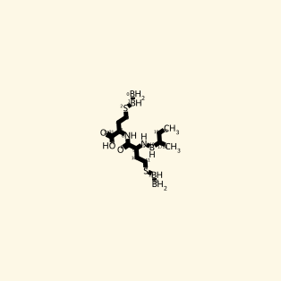 BBSCCC(NC(=O)C(CCSBB)NBC(C)CC)C(=O)O